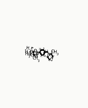 CC1COCCN1Cc1ccc(B2OC(C)(C)C(C)(C)O2)cc1